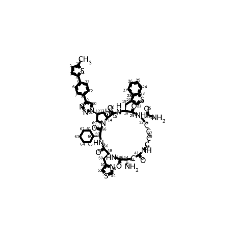 Cc1ccc(-c2ccc(-c3cn([C@H]4C[C@H]5C(=O)N[C@@H](Cc6csc7ccccc67)C(=O)N[C@H](C(N)=O)CCCCNC(=O)C[C@H](N)C(=O)N[C@@H](Cc6cscn6)C(=O)N[C@@H](C6CCCCC6)C(=O)N5C4)nn3)cc2)s1